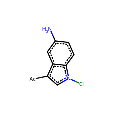 CC(=O)c1cn(Cl)c2ccc(N)cc12